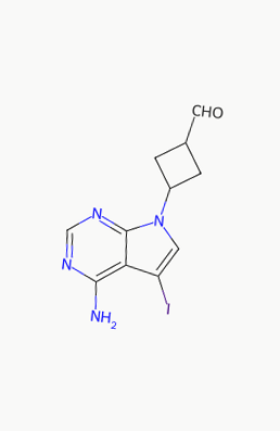 Nc1ncnc2c1c(I)cn2C1CC(C=O)C1